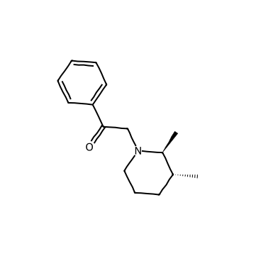 C[C@@H]1CCCN(CC(=O)c2ccccc2)[C@H]1C